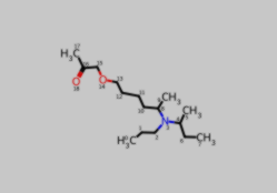 CCCN(C(C)CC)C(C)CCCCOCC(C)=O